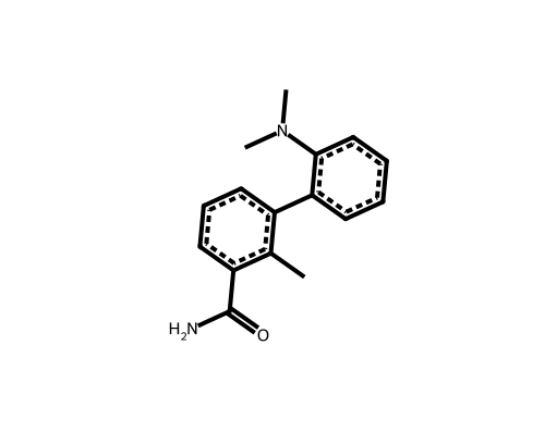 Cc1c(C(N)=O)cccc1-c1ccccc1N(C)C